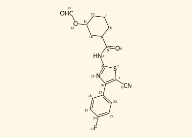 N#Cc1sc(NC(=O)C2CCCC(OC=O)C2)nc1-c1ccc(F)cc1